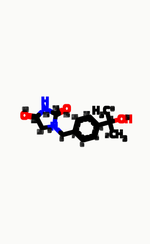 CC(C)(O)c1ccc(CN2CC(=O)NC2=O)cc1